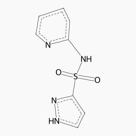 O=S(=O)(Nc1ccccn1)c1cc[nH]n1